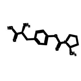 C[C@@H]1CCCN1C(=O)Oc1ccc(C[C@H](N)C(=O)O)cc1